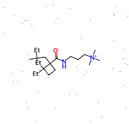 CCC(C)(CC)CC1(C(=O)NCCC[N+](C)(C)C)CCC1(C)CC